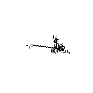 CCCCCCCCCCCCCCCCCCNC(=O)OCC(COC12C(NCCNC(=O)c3ccc[n+](CC)c3)C(C)CCC1C2(C)C)OC.[I-]